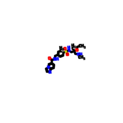 C/C=C(\C=C/CS(=O)(=O)NCC(C)(CNC)OCC)CNC(=O)c1ccc2nccn2c1